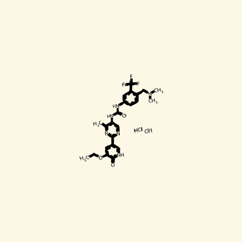 CCOc1cc(-c2ncc(NC(=O)Nc3ccc(CN(C)C)c(C(F)(F)F)c3)c(C)n2)c[nH]c1=O.Cl.Cl